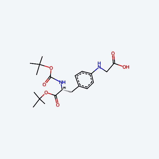 CC(C)(C)OC(=O)N[C@H](Cc1ccc(NCC(=O)O)cc1)C(=O)OC(C)(C)C